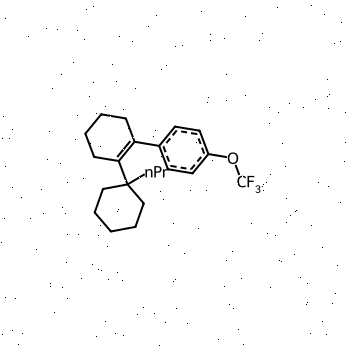 CCCC1(C2=C(c3ccc(OC(F)(F)F)cc3)CCCC2)CCCCC1